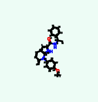 C=C1C=Cc2cc(C(=O)NC(C)c3ccccc3)[nH]c2N1c1ccc(OC(C)C)cc1